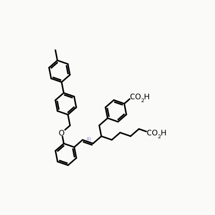 Cc1ccc(-c2ccc(COc3ccccc3/C=C/C(CCCCC(=O)O)Cc3ccc(C(=O)O)cc3)cc2)cc1